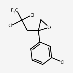 FC(F)(F)C(Cl)(Cl)CC1(c2cccc(Cl)c2)CO1